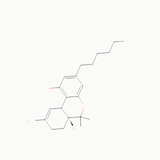 CC1=CC2c3c(O)cc(CCCCCBr)cc3OC(C)(C)[C@@H]2CC1